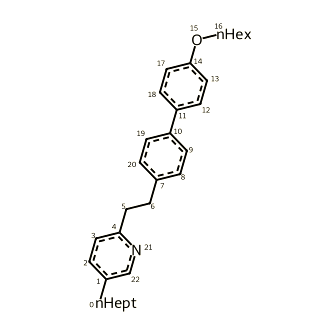 CCCCCCCc1ccc(CCc2ccc(-c3ccc(OCCCCCC)cc3)cc2)nc1